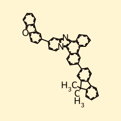 CC1(C)c2ccccc2-c2ccc(-c3ccc4c(c3)c3ccccc3c3nc5cc(-c6ccc7oc8ccccc8c7c6)ccn5c43)cc21